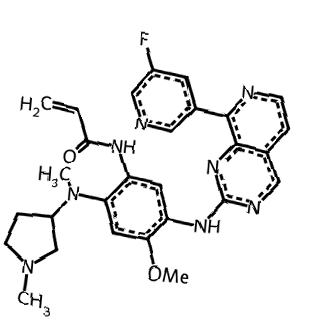 C=CC(=O)Nc1cc(Nc2ncc3ccnc(-c4cncc(F)c4)c3n2)c(OC)cc1N(C)C1CCN(C)C1